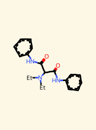 CCN(CC)C(C(=O)Nc1ccccc1)C(=O)Nc1ccccc1